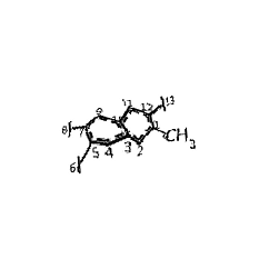 Cc1cc2cc(I)c(I)cc2cc1I